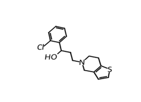 OC(CCN1CCc2sccc2C1)c1ccccc1Cl